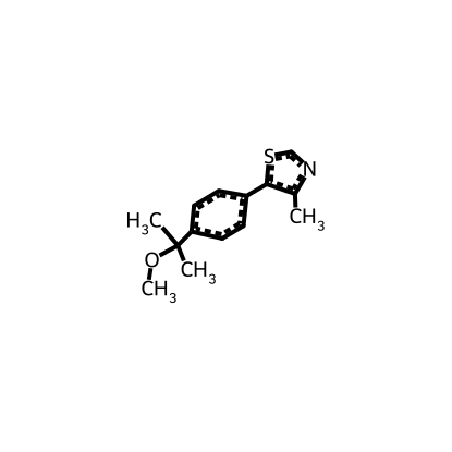 COC(C)(C)c1ccc(-c2scnc2C)cc1